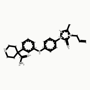 C=CCn1c(C)nn(-c2ccc(Sc3cccc(C4(C(N)=O)CCOCC4)c3)cc2)c1=O